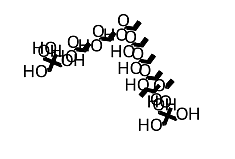 C=CC(=O)O.C=CC(=O)O.C=CC(=O)O.C=CC(=O)O.C=CC(=O)O.C=CC(=O)O.C=COC(=O)C=C.OCC(CO)(CO)CO.OCC(CO)(CO)CO